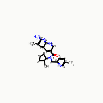 Cc1cc2cc(C(=O)N(Cc3ccc(C(F)(F)F)cn3)C3CCCC3C#N)cnc2nc1N